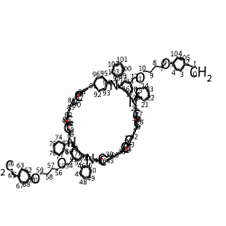 C=Cc1ccc(OCCCCOCc2cc3cc(c2)n(-c2ccccc2)c2ccc(cc2)c2ccc(cc2)c2ccc(cc2)n(-c2ccccc2)c2cc(COCCCCOc4ccc(C=C)cc4)cc(c2)n(-c2ccccc2)c2ccc(cc2)c2ccc(cc2)c2ccc(cc2)n3-c2ccccc2)cc1